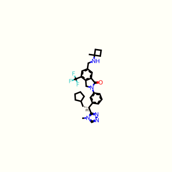 Cn1cnnc1[C@H](CC1CCCC1)c1cccc(N2Cc3c(cc(CNC4(C)CCC4)cc3C(F)(F)F)C2=O)c1